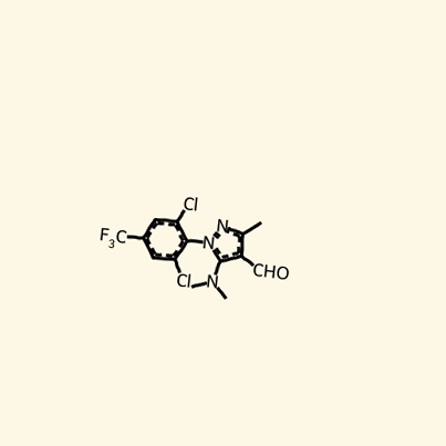 Cc1nn(-c2c(Cl)cc(C(F)(F)F)cc2Cl)c(N(C)C)c1C=O